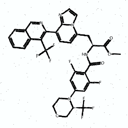 COC(=O)[C@H](Cc1ccc(-c2ncc3ccccc3c2C(F)(F)F)c2nccn12)NC(=O)c1c(F)cc(N2CCOC[C@@H]2C(F)(F)F)cc1F